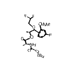 COc1cc(F)ccc1[C@@H](OCC(F)F)[C@H](C)OC(=O)[C@H](C)NC(=O)OC(C)(C)C